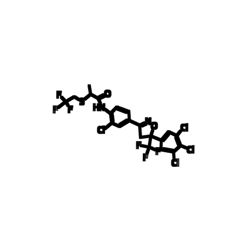 CC(SCC(F)(F)F)C(=O)Nc1ccc(C2=NOC(c3cc(Cl)c(Cl)c(Cl)c3)(C(F)(F)F)C2)cc1Cl